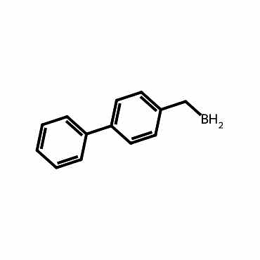 BCc1ccc(-c2ccccc2)cc1